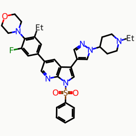 CCc1cc(-c2cnc3c(c2)c(-c2cnn(C4CCN(CC)CC4)c2)cn3S(=O)(=O)c2ccccc2)cc(F)c1N1CCOCC1